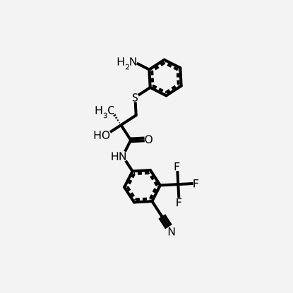 C[C@](O)(CSc1ccccc1N)C(=O)Nc1ccc(C#N)c(C(F)(F)F)c1